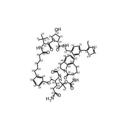 Cc1ncsc1-c1ccc(CNC(=O)[C@@H]2C[C@@H](O)CN2C(=O)[C@@H](NC(=O)CCCCCc2cccc(OC[C@H](CCC(N)=O)NC(=O)[C@@H]3Cc4cccc5c4N3C(=O)[C@@H](NC(=O)OC(C)(C)C)CC5)c2)C(C)(C)C)cc1